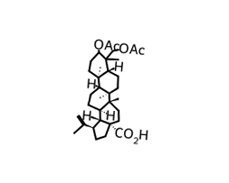 C=C(C)[C@@H]1CC[C@]2(C(=O)O)CC[C@]3(C)[C@H](CC[C@@H]4[C@@]5(C)CCC(OC(C)=O)C(C)(COC(C)=O)[C@@H]5CC[C@]43C)[C@@H]12